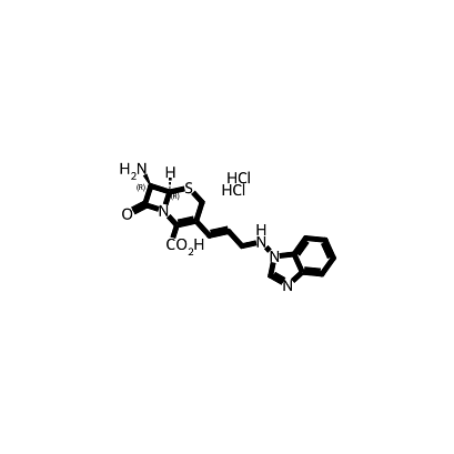 Cl.Cl.N[C@@H]1C(=O)N2C(C(=O)O)=C(C=CCNn3cnc4ccccc43)CS[C@H]12